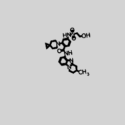 CC1CCn2c(nc3c(NC(=O)c4ccc(NS(=O)(=O)CCO)cc4N4CCC5(CC4)CC5)cccc32)C1